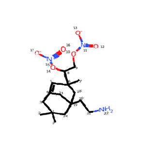 CC1(C)CC2=CC(C)(C(CO[N+](=O)[O-])O[N+](=O)[O-])CC(CCN)(C2)C1